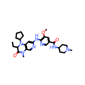 CCC1C(=O)N(C)c2cnc(Nc3ncc(C(=O)NC4CCN(C)CC4)cc3OC)cc2N1C1CCCC1